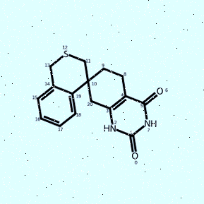 O=c1[nH]c2c(c(=O)[nH]1)CCC1(CSCc3ccccc31)C2